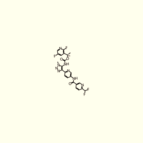 C[C@@H](OC(=O)Nc1c(-c2ccc(NC(=O)c3ccc(C(F)F)nc3)cn2)nnn1C)c1cc(F)cnc1F